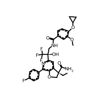 CC[C@@]1(C(N)=O)COc2c1cc([C@@](O)(CNC(=O)c1ccc(OC3CC3)c(OC)c1)C(F)(F)F)nc2-c1ccc(F)cc1